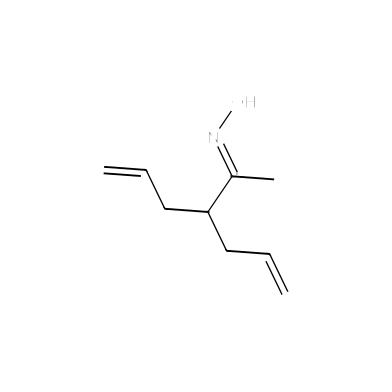 C=CCC(CC=C)C(C)=NO